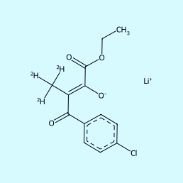 [2H]C([2H])([2H])C(C(=O)c1ccc(Cl)cc1)=C([O-])C(=O)OCC.[Li+]